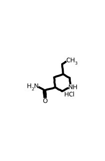 CCC1CNCC(C(N)=O)C1.Cl